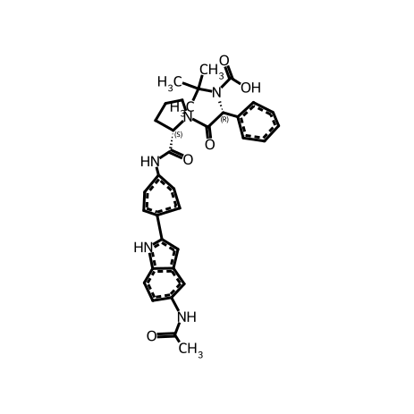 CC(=O)Nc1ccc2[nH]c(-c3ccc(NC(=O)[C@@H]4CCCN4C(=O)[C@@H](c4ccccc4)N(C(=O)O)C(C)(C)C)cc3)cc2c1